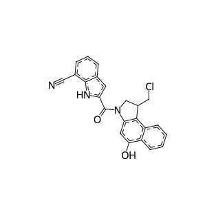 N#Cc1cccc2cc(C(=O)N3CC(CCl)c4c3cc(O)c3ccccc43)[nH]c12